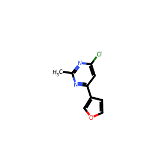 Cc1nc(Cl)cc(-c2ccoc2)n1